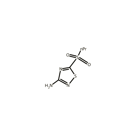 CCCS(=O)(=O)c1nc(N)ns1